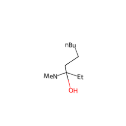 CCCCCCC(O)(CC)NC